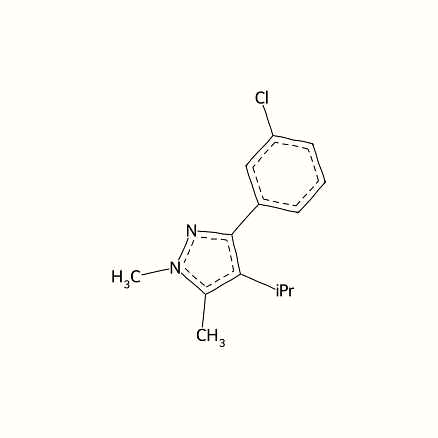 Cc1c(C(C)C)c(-c2cccc(Cl)c2)nn1C